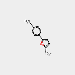 O=C(O)c1ccc(-c2ccc([N+](=O)[O-])cc2)o1